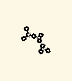 C1=CC(n2c3c(c4ccccc42)=C[C@H](c2ccc4c(c2)c2ccccc2n4-c2ccc(-c4nc(-c5ccccc5)cc(-c5ccccc5)n4)cc2)CC=3)=CCC1